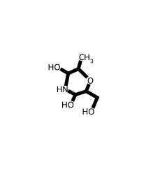 CC1OC(CO)C(O)NC1O